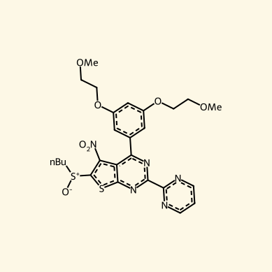 CCCC[S+]([O-])c1sc2nc(-c3ncccn3)nc(-c3cc(OCCOC)cc(OCCOC)c3)c2c1[N+](=O)[O-]